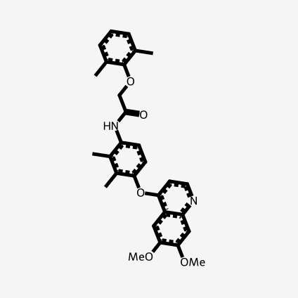 COc1cc2nccc(Oc3ccc(NC(=O)COc4c(C)cccc4C)c(C)c3C)c2cc1OC